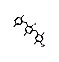 Cc1ccc(C)c(Cc2cc(C)cc(Cc3cc(C)c(O)cc3C)c2O)c1